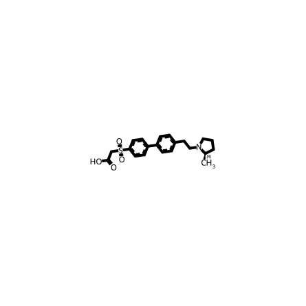 C[C@@H]1CCCN1CCc1ccc(-c2ccc(S(=O)(=O)CC(=O)O)cc2)cc1